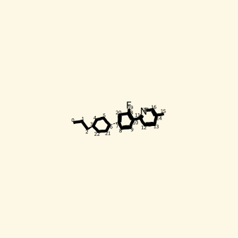 CCC[C@H]1CC[C@H](c2ccc(-c3ccc(C)cn3)c(F)c2)CC1